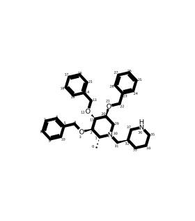 C[C@@H]1[C@@H](OCc2ccccc2)[C@H](OCc2ccccc2)[C@@H](OCc2ccccc2)CN1C[C@@H]1CCCNC1